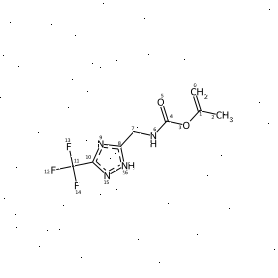 C=C(C)OC(=O)NCc1nc(C(F)(F)F)n[nH]1